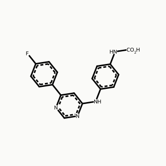 O=C(O)Nc1ccc(Nc2cc(-c3ccc(F)cc3)ncn2)cc1